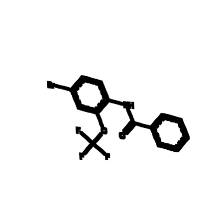 O=C(Nc1ccc(Br)cc1OC(F)(F)F)c1ccccc1